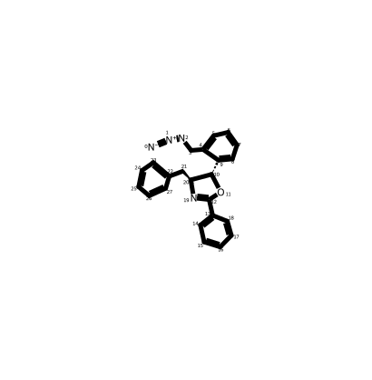 [N-]=[N+]=NCc1ccccc1[C@@H]1OC(c2ccccc2)=N[C@H]1Cc1ccccc1